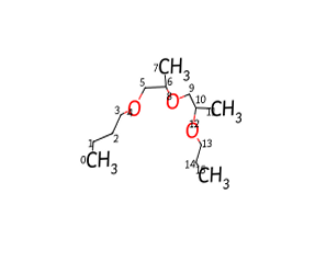 CCCCOCC(C)OCC(C)OCCC